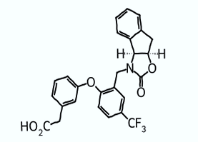 O=C(O)Cc1cccc(Oc2ccc(C(F)(F)F)cc2CN2C(=O)O[C@@H]3Cc4ccccc4[C@@H]32)c1